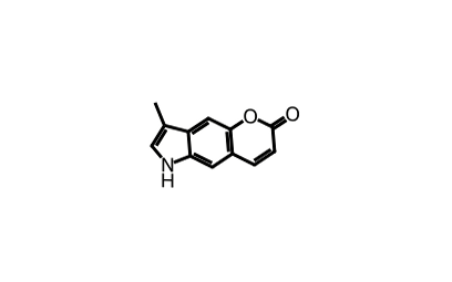 Cc1c[nH]c2cc3ccc(=O)oc3cc12